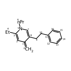 C=C1C=C(CC)N(CCC)C=C1CCc1ccccc1